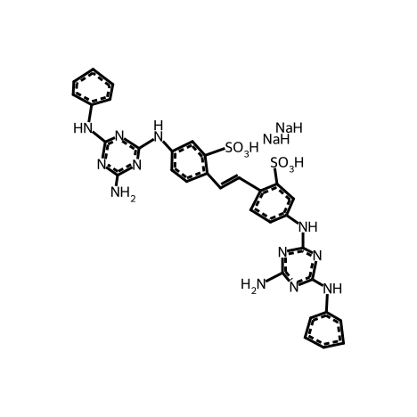 Nc1nc(Nc2ccccc2)nc(Nc2ccc(/C=C/c3ccc(Nc4nc(N)nc(Nc5ccccc5)n4)cc3S(=O)(=O)O)c(S(=O)(=O)O)c2)n1.[NaH].[NaH]